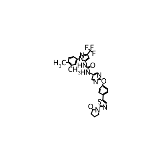 Cc1ccc(-n2nc(C(F)(F)F)cc2NC(=O)Nc2cnc(Oc3ccc(-c4cnc(N5CCCC5=O)s4)cc3)nc2)cc1C